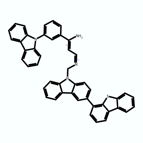 N/C(=C\C=N/Cn1c2ccccc2c2cc(-c3cccc4c3sc3ccccc34)ccc21)c1cccc(-n2c3ccccc3c3ccccc32)c1